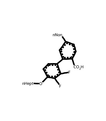 CCCCCCCCCc1ccc(C(=O)O)c(-c2ccc(OCCCCCCC)c(F)c2F)c1